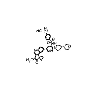 Cc1ccc(S(=O)(=O)Nc2cc(-c3ccc4ncc5c(c4c3)C3(CCC3)C(=O)N5C)cnc2N2CCC(N3CCOCC3)CC2)cc1.Cl